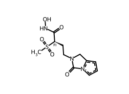 CS(=O)(=O)[C@H](CCN1Cc2cccn2C1=O)C(=O)NO